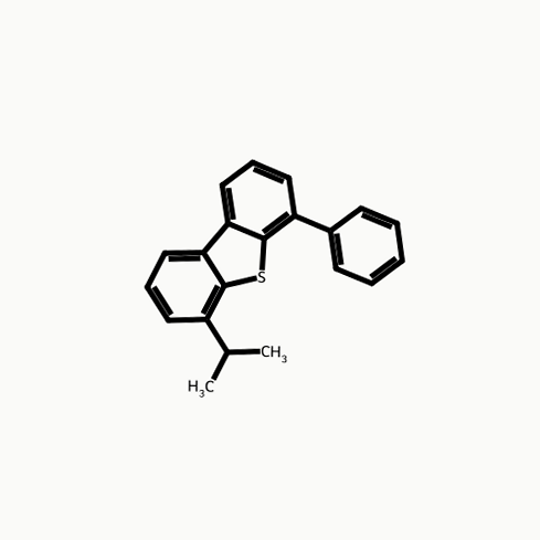 CC(C)c1cccc2c1sc1c(-c3ccccc3)cccc12